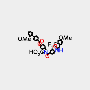 COc1ccc(CC(=O)Nc2ccc(C(=O)N(CC(=O)O)Cc3ccc(OC(=O)c4ccc(-c5ccccc5OC)cc4)cc3)cc2)c(C(F)(F)F)c1